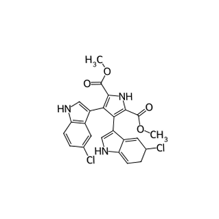 COC(=O)c1[nH]c(C(=O)OC)c(-c2c[nH]c3ccc(Cl)cc23)c1-c1c[nH]c2c1=CC(Cl)CC=2